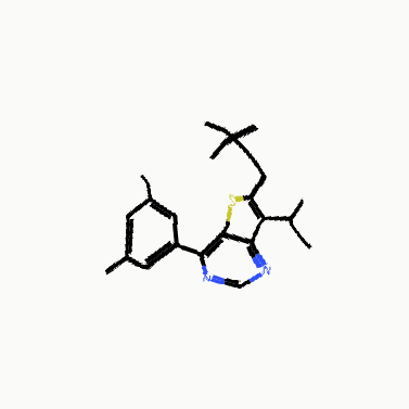 Cc1cc(C)cc(-c2ncnc3c(C(C)C)c(CC(C)(C)C)sc23)c1